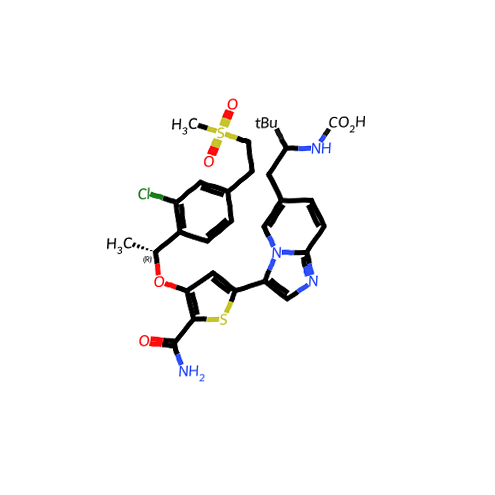 C[C@@H](Oc1cc(-c2cnc3ccc(CC(NC(=O)O)C(C)(C)C)cn23)sc1C(N)=O)c1ccc(CCS(C)(=O)=O)cc1Cl